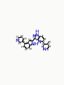 Cc1ccncc1-c1ccc2[nH]nc(-c3cc4c(-c5cccnc5)cccc4[nH]3)c2n1